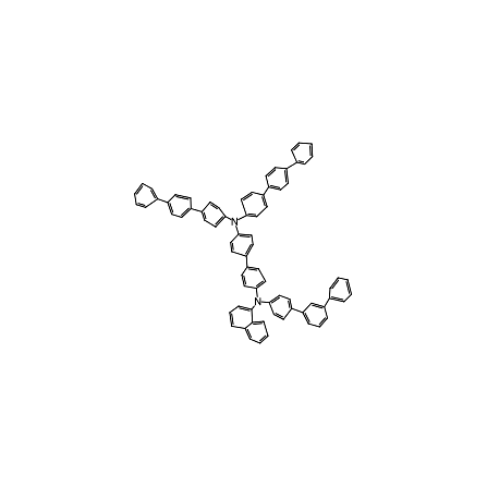 c1ccc(-c2ccc(-c3ccc(N(c4ccc(-c5ccc(-c6ccccc6)cc5)cc4)c4ccc(-c5ccc(N(c6ccc(-c7cccc(-c8ccccc8)c7)cc6)c6cccc7ccccc67)cc5)cc4)cc3)cc2)cc1